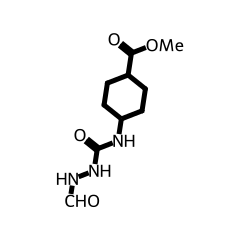 COC(=O)C1CCC(NC(=O)NNC=O)CC1